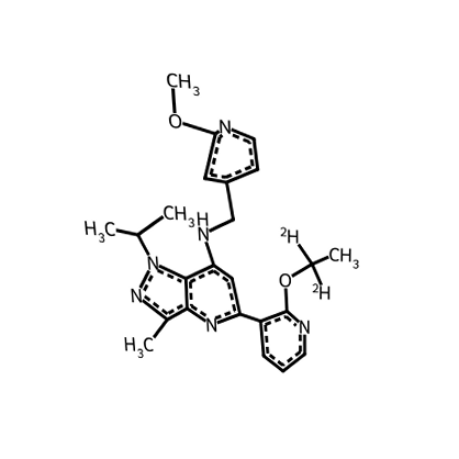 [2H]C([2H])(C)Oc1ncccc1-c1cc(NCc2ccnc(OC)c2)c2c(n1)c(C)nn2C(C)C